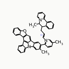 Cc1ccc(-c2cc3c4cc5oc6ccccc6c5c5c6ccccc6n(c3cc2C)c45)[n+](/C=C/CC2c3ccccc3-c3cccc[n+]3C2C)c1